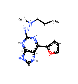 CCCCCCCCCCCCNC=O.Nc1nc(-c2ccco2)c2nc[nH]c2n1